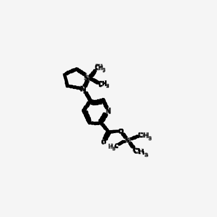 C[Si](C)(C)OC(=O)c1ccc(N2CCC[Si]2(C)C)cn1